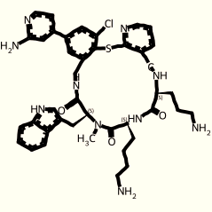 CN1C(=O)[C@H](CCCCN)NC(=O)[C@H](CCCN)NCc2cccnc2Sc2c(Cl)cc(-c3ccnc(N)c3)cc2CNC(=O)[C@@H]1Cc1c[nH]c2ccccc12